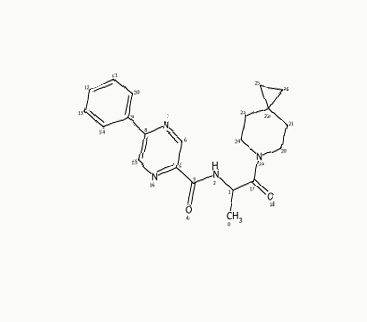 CC(NC(=O)c1cnc(-c2ccccc2)cn1)C(=O)N1CCC2(CC1)CC2